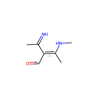 CN/C(C)=C(/C=O)C(C)=N